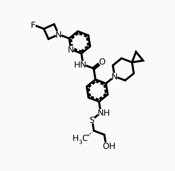 C[C@@H](CO)SNc1ccc(C(=O)Nc2cccc(N3CC(F)C3)n2)c(N2CCC3(CC2)CC3)c1